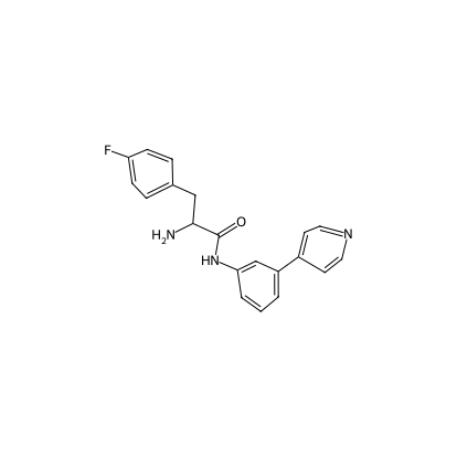 NC(Cc1ccc(F)cc1)C(=O)Nc1cccc(-c2ccncc2)c1